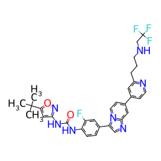 CC(C)(C)c1cc(NC(=O)Nc2ccc(-c3cnc4cc(-c5ccnc(CCCNCC(F)(F)F)c5)ccn34)cc2F)no1